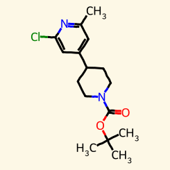 Cc1cc(C2CCN(C(=O)OC(C)(C)C)CC2)cc(Cl)n1